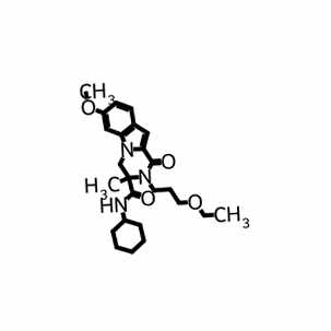 CCOCCCN1C(=O)c2cc3ccc(OC)cc3n2CC1(C)C(=O)NC1CCCCC1